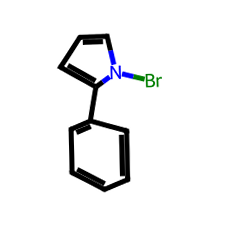 Brn1cccc1-c1ccccc1